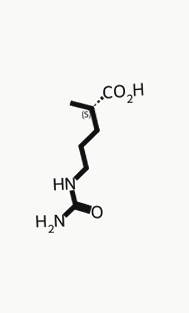 C[C@@H](CCCNC(N)=O)C(=O)O